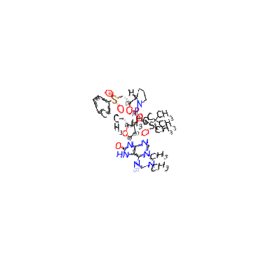 CC[C@H]1O[C@@H](n2c(=O)[nH]c3c(/N=C\N(C)C)ncnc32)[C@@H](O[Si](C)(C)C(C)(C)C)C1O[P@@]1O[C@H](CS(=O)(=O)c2ccccc2)[C@@H]2CCCN21